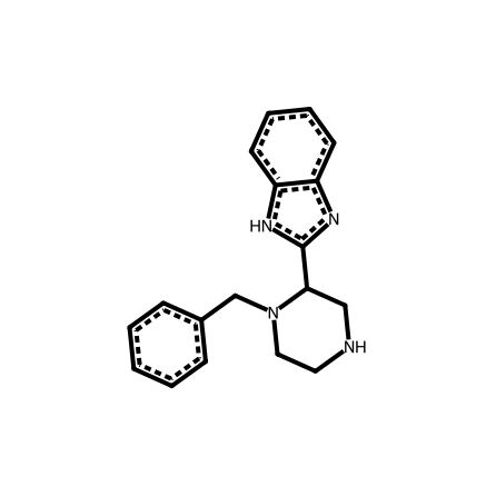 c1ccc(CN2CCNCC2c2nc3ccccc3[nH]2)cc1